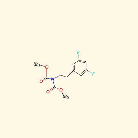 CC(C)(C)OC(=O)N(CCc1cc(F)cc(F)c1)C(=O)OC(C)(C)C